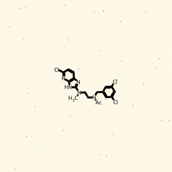 CC(=O)N(CCN(C)c1nc2ccc(Cl)nc2[nH]1)Cc1cc(Cl)cc(Cl)c1